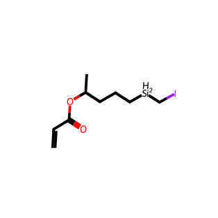 C=CC(=O)OC(C)CCC[SiH2]CI